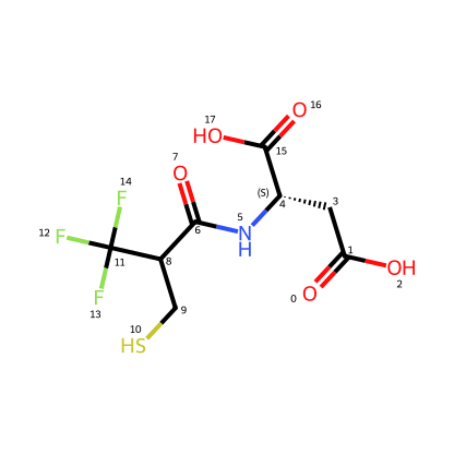 O=C(O)C[C@H](NC(=O)C(CS)C(F)(F)F)C(=O)O